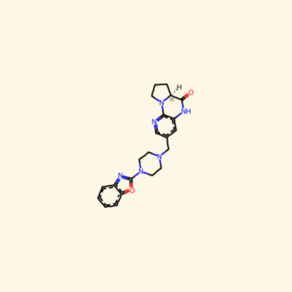 O=C1Nc2cc(CN3CCN(c4nc5ccccc5o4)CC3)cnc2N2CCC[C@@H]12